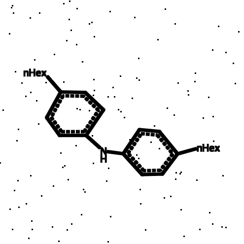 CCCCCCc1ccc(Nc2ccc(CCCCCC)cc2)cc1